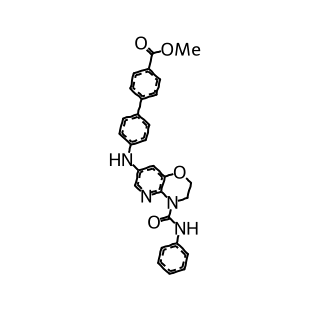 COC(=O)c1ccc(-c2ccc(Nc3cnc4c(c3)OCCN4C(=O)Nc3ccccc3)cc2)cc1